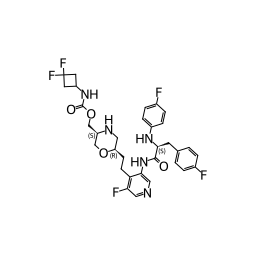 O=C(NC1CC(F)(F)C1)OC[C@@H]1CO[C@H](CCc2c(F)cncc2NC(=O)[C@H](Cc2ccc(F)cc2)Nc2ccc(F)cc2)CN1